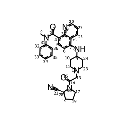 CN(C(=O)c1ccc(NC2CCN(CC(=O)N3CCC[C@H]3C#N)CC2)c2cccnc12)c1ccccc1